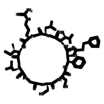 CC[C@H](C)[C@@H]1NC(=O)[C@@H](CCCNC(=N)N)NC(=O)[C@H](CC(C)C)NC(=O)[C@H]([C@H](O)C(C)C)NC(=O)[C@@H](NC(=O)OCc2ccccc2)[C@@H](c2ccccc2)NC(=O)C(CO)NC(=O)[C@H](CO)NC(=O)CNC(=O)[C@H](CC(C)C)NC1=O